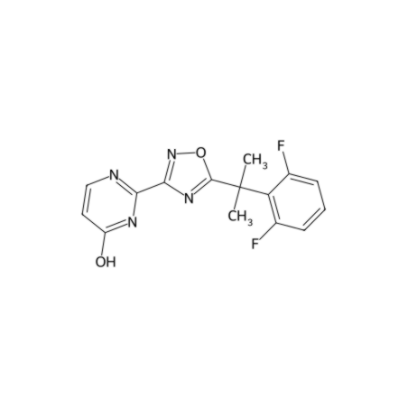 CC(C)(c1nc(-c2nccc(O)n2)no1)c1c(F)cccc1F